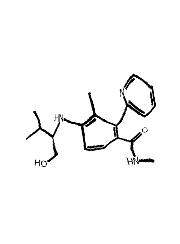 CNC(=O)c1ccc(N[C@@H](CO)C(C)C)c(C)c1-c1ccccn1